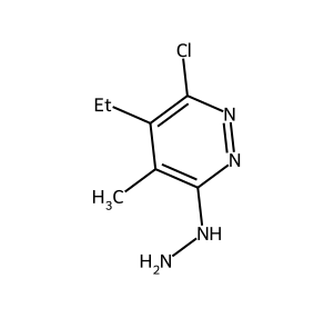 CCc1c(Cl)nnc(NN)c1C